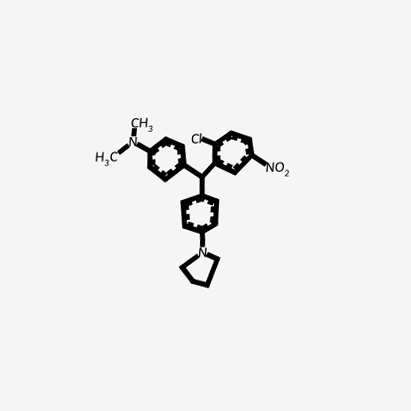 CN(C)c1ccc(C(c2ccc(N3CCCC3)cc2)c2cc([N+](=O)[O-])ccc2Cl)cc1